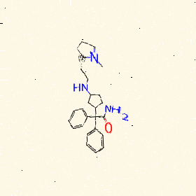 CN1CCC[C@H]1CCNC1CCC(C(C(N)=O)(c2ccccc2)c2ccccc2)C1